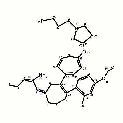 CC/C=C(N)\C=C1\CCCC(c2ccc(OCC)cc2C)=C(C2=CC=C(O[C@H]3CCN(CCCF)C3)CC=C2)C1